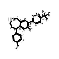 Fc1ccc(C2CCNCc3cc(-c4ccc(C(F)(F)F)nn4)c(F)cc32)cc1